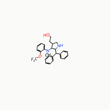 CN(c1ccccc1OC(F)(F)F)C1C(CCO)CNC1C(c1ccccc1)c1ccccc1